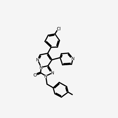 Cc1ccc(Cn2nc3c(-c4ccncc4)c(-c4ccc(Cl)cc4)cnn3c2=O)cc1